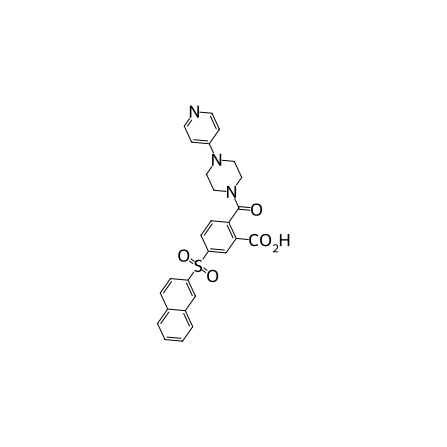 O=C(O)c1cc(S(=O)(=O)c2ccc3ccccc3c2)ccc1C(=O)N1CCN(c2ccncc2)CC1